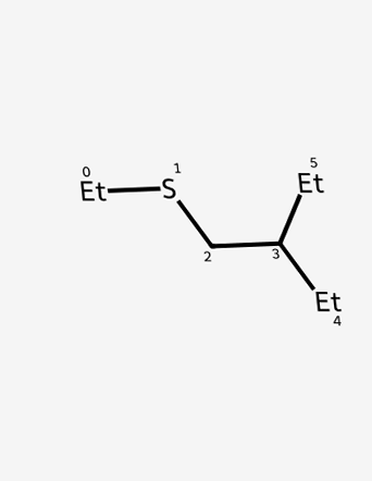 [CH2]CSCC(CC)CC